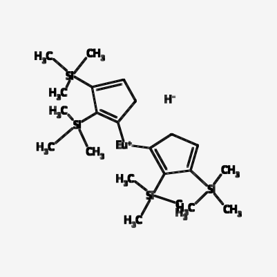 C[Si](C)(C)C1=CC[C]([Eu+][C]2=C([Si](C)(C)C)C([Si](C)(C)C)=CC2)=C1[Si](C)(C)C.[H-]